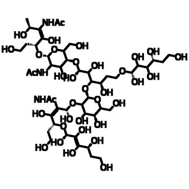 CC(=O)N/C(=C(\O)[C@@H](CCO)O[C@@H]1OC(CO)[C@@H](O[C@H](O)C(O)C(O[C@H]2OC(CO)[C@@H](O)C(O)C2O[C@H](O)/C(NC(C)=O)=C(/O)[C@@H](CCO)O[C@H](O)/C(O)=C(\O)[C@@H](O)CCO)[C@H](O)CCO[C@@H](O)C(O)C(O)[C@H](O)CCO)C(O)C1NC(C)=O)[C@H](C)O